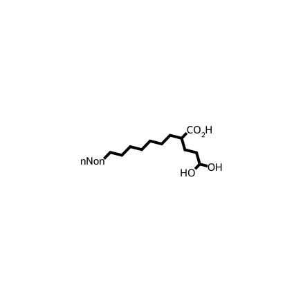 CCCCCCCCCCCCCCCCC(CCC(O)O)C(=O)O